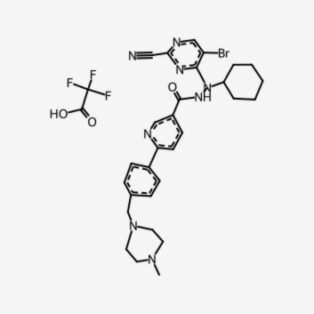 CN1CCN(Cc2ccc(-c3ccc(C(=O)NN(c4nc(C#N)ncc4Br)C4CCCCC4)cn3)cc2)CC1.O=C(O)C(F)(F)F